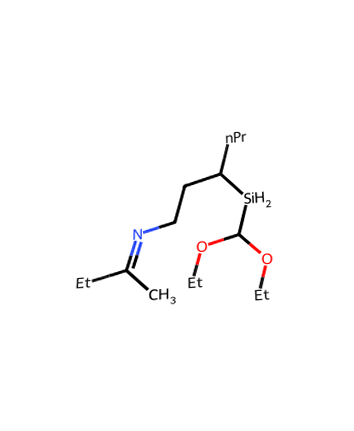 CCCC(CCN=C(C)CC)[SiH2]C(OCC)OCC